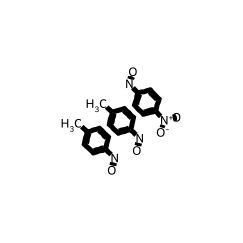 Cc1ccc(N=O)cc1.Cc1ccc(N=O)cc1.O=Nc1ccc([N+](=O)[O-])cc1